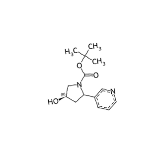 CC(C)(C)OC(=O)N1C[C@H](O)CC1c1cccnc1